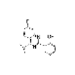 CN(C)c1nc(-c2ccccc2O)nc2cc(F)ccc12